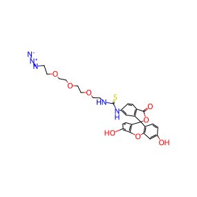 [N-]=[N+]=NCCOCCOCCOCCNC(=S)Nc1ccc2c(c1)C1(OC2=O)c2ccc(O)cc2Oc2cc(O)ccc21